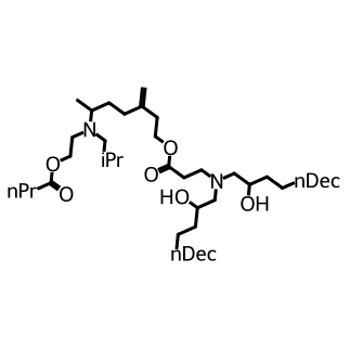 C=C(CCOC(=O)CCN(CC(O)CCCCCCCCCCCC)CC(O)CCCCCCCCCCCC)CCC(C)N(CCOC(=O)CCC)CC(C)C